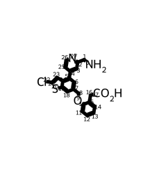 NCc1cc(-c2cc(COc3ccccc3CC(=O)O)cc3sc(Cl)cc23)ccn1